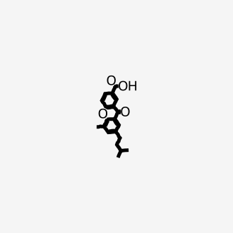 Cc1cc(CCC(C)C)cc2c(=O)c3cc(C(=O)O)ccc3oc12